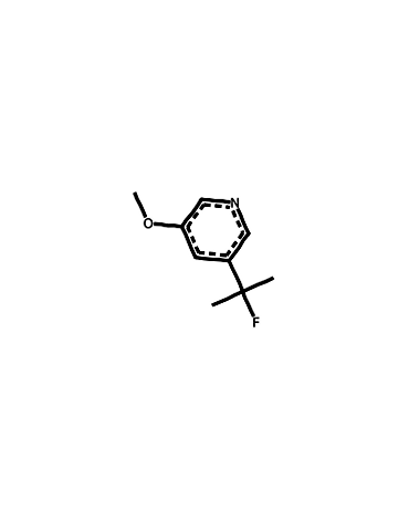 COc1cncc(C(C)(C)F)c1